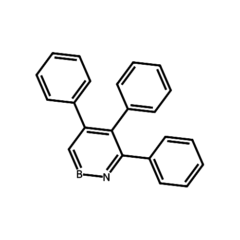 b1cc(-c2ccccc2)c(-c2ccccc2)c(-c2ccccc2)n1